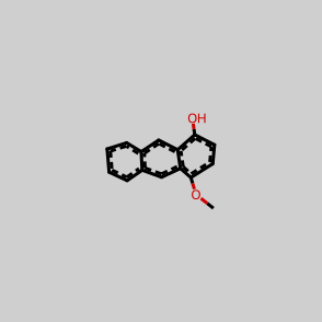 COc1ccc(O)c2cc3ccccc3cc12